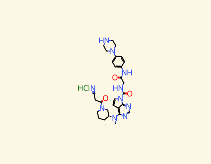 C[C@@H]1CCN(C(=O)CC#N)C[C@@H]1N(C)c1ncnc2c1ccn2C(=O)NCC(=O)Nc1ccc(N2CCNCC2)cc1.Cl